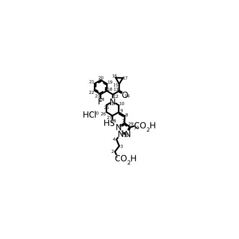 Cl.O=C(O)CCCn1nc(C=C2CN(C(C(=O)C3CC3)c3ccccc3F)CCC2S)c(C(=O)O)n1